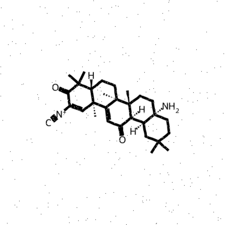 [C-]#[N+]C1=C[C@]2(C)C3=CC(=O)[C@@H]4[C@@H]5CC(C)(C)CC[C@]5(N)CC[C@@]4(C)[C@]3(C)CC[C@H]2C(C)(C)C1=O